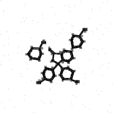 O=C1OC(c2ccc(O)cc2)(c2ccc(O)cc2)c2ccccc21.Oc1ccccc1.Oc1ccccc1